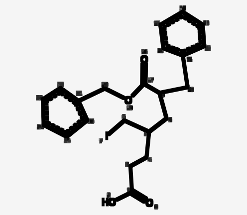 O=C(O)CCC(CI)CC(Cc1ccccc1)C(=O)OCc1ccccc1